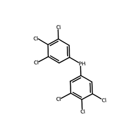 Clc1cc(Pc2cc(Cl)c(Cl)c(Cl)c2)cc(Cl)c1Cl